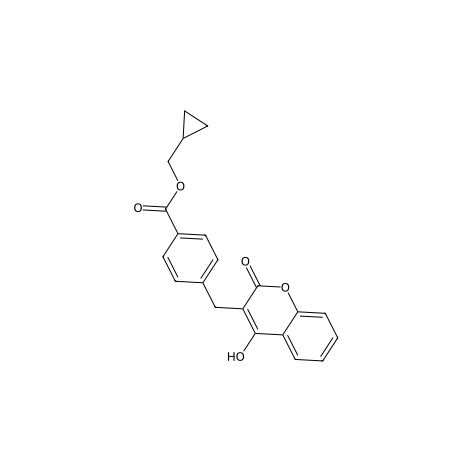 O=C(OCC1CC1)c1ccc(Cc2c(O)c3ccccc3oc2=O)cc1